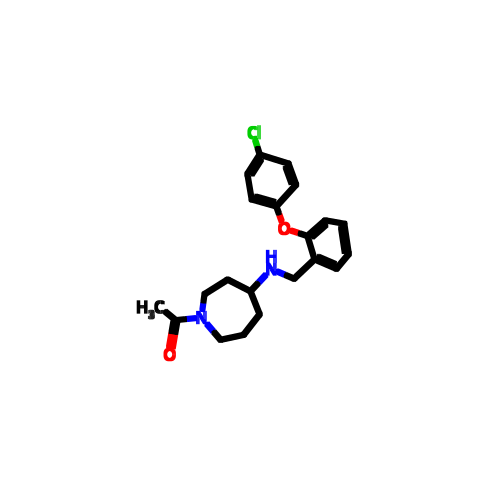 CC(=O)N1CCCC(NCc2ccccc2Oc2ccc(Cl)cc2)CC1